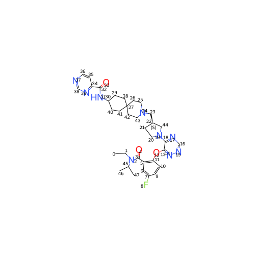 CCN(C(=O)c1cc(F)ccc1Oc1nncnc1N1CC[C@@H](CN2CCC3(CCC(NC(=O)c4ccncn4)CC3)CC2)C1)C(C)C